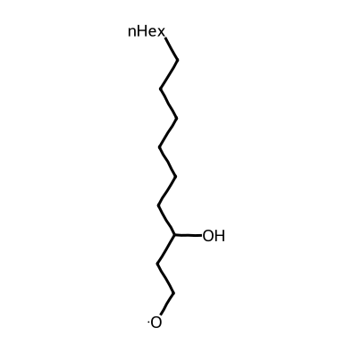 CCCCCCCCCCCCC(O)CC[O]